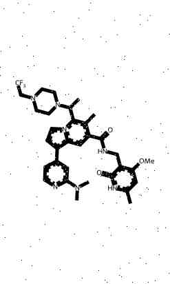 COc1cc(C)[nH]c(=O)c1CNC(=O)c1cc2c(-c3ccnc(N(C)C)c3)ccn2c(C(C)N2CCN(CC(F)(F)F)CC2)c1C